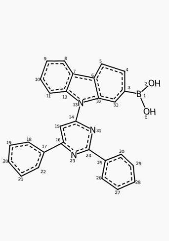 OB(O)c1ccc2c3ccccc3n(-c3cc(-c4ccccc4)nc(-c4ccccc4)n3)c2c1